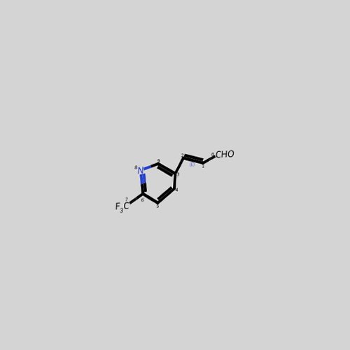 O=C/C=C/c1ccc(C(F)(F)F)nc1